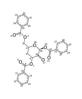 O=C(OCC1CC(OC(=O)c2ccccc2)C(=O)[C@H](OC(=O)c2ccccc2)O1)c1ccccc1